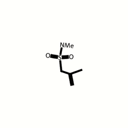 C=C(C)CS(=O)(=O)NC